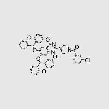 COc1ccc2c(c1)C(Oc1cc3cnc(N4CCN(C(=O)c5cccc(Cl)c5)CC4)nc3cc1OC1c3ccccc3Oc3ccc(OC)cc31)c1ccccc1O2